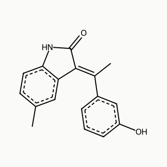 CC(=C1C(=O)Nc2ccc(C)cc21)c1cccc(O)c1